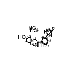 CN[C@@H](CN1CC[C@H](O)C1)c1cccc(-c2noc(C)n2)c1.Cl.Cl